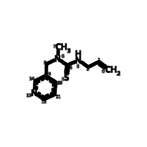 C=CCNC(=S)N(C)Cc1cccnc1